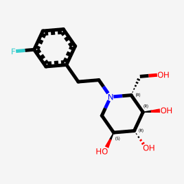 OC[C@@H]1[C@@H](O)[C@H](O)[C@@H](O)CN1CCc1cccc(F)c1